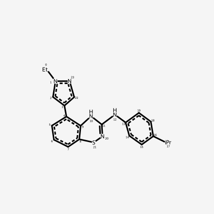 CCn1cc(-c2cccc3c2NC(Nc2ccc(C(C)C)cc2)=NS3)cn1